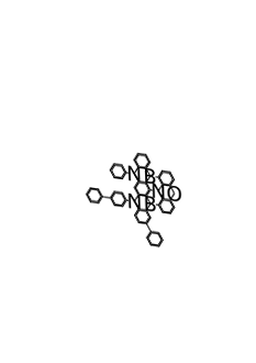 c1ccc(-c2ccc(N3c4ccc(-c5ccccc5)cc4B4c5cccc6c5N5c7c(cccc7B7c8ccccc8N(c8ccccc8)c8cc3c4c5c87)O6)cc2)cc1